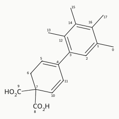 Cc1cc(C2=CCC(C(=O)O)(C(=O)O)C=C2)c(C)c(C)c1C